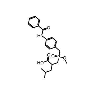 COP(=O)(Cc1ccc(NC(=O)c2ccccc2)cc1)CC(CC(C)C)C(=O)O